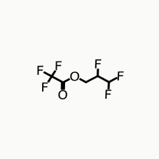 O=C(OCC(F)C(F)F)C(F)(F)F